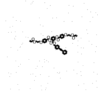 C=CC(=O)OCCCOc1ccc(C(=O)Oc2ccc(OC(=O)c3ccc(OCCCOC(=O)C=C)cc3)c(C(=O)OCc3ccc(C#Cc4ccccc4)cc3)c2)cc1